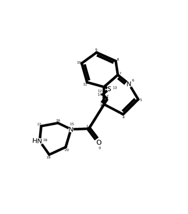 O=C(C1=C2C=CN=C3C=CC=CC32SC1)N1CCNCC1